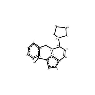 CC(C)c1cnc2n1N(Cc1ccccc1)C(N1CCOC1)N=C2